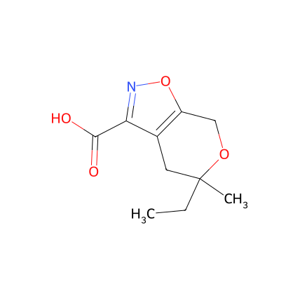 CCC1(C)Cc2c(C(=O)O)noc2CO1